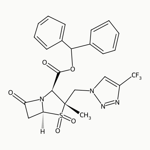 C[C@]1(Cn2cc(C(F)(F)F)nn2)[C@H](C(=O)OC(c2ccccc2)c2ccccc2)N2C(=O)C[C@@H]2S1(=O)=O